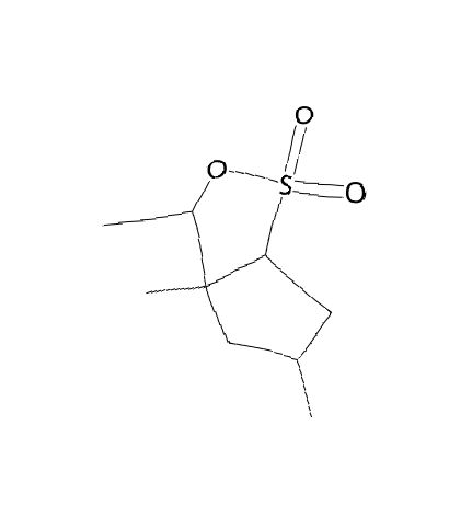 CC1CC2C(C)(C1)C(C)OS2(=O)=O